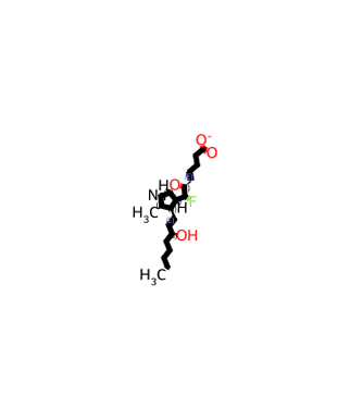 CCCCC[C@H](O)/C=C/[C@@H]1[C@H]2C(F)[C@@H](/C=C/CCC(=O)[O-])O[C@@H]2C[C@H]1C.[Na+]